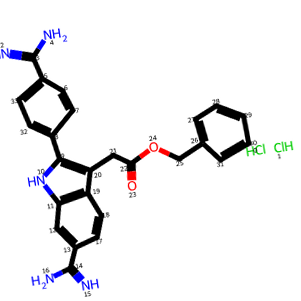 Cl.Cl.N=C(N)c1ccc(-c2[nH]c3cc(C(=N)N)ccc3c2CC(=O)OCc2ccccc2)cc1